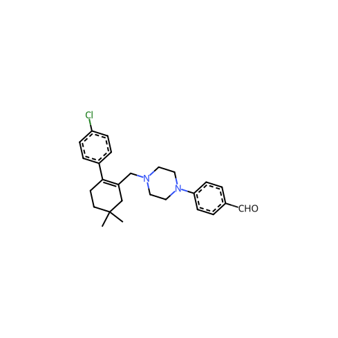 CC1(C)CCC(c2ccc(Cl)cc2)=C(CN2CCN(c3ccc(C=O)cc3)CC2)C1